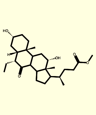 CC[C@H]1C(=O)C2C3CCC([C@H](C)CCC(=O)OC)[C@@]3(C)[C@@H](O)CC2[C@@]2(C)CC[C@@H](O)C[C@@H]12